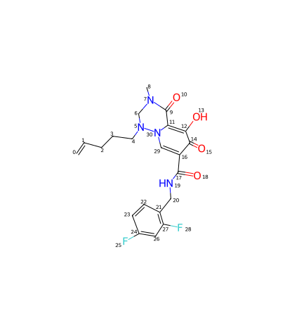 C=CCCCN1CN(C)C(=O)c2c(O)c(=O)c(C(=O)NCc3ccc(F)cc3F)cn21